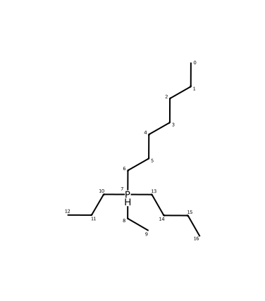 CCCCCCC[PH](CC)(CCC)CCCC